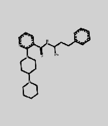 O=C(NC(O)CCc1ccccc1)c1cccnc1N1CCC(N2CCCCC2)CC1